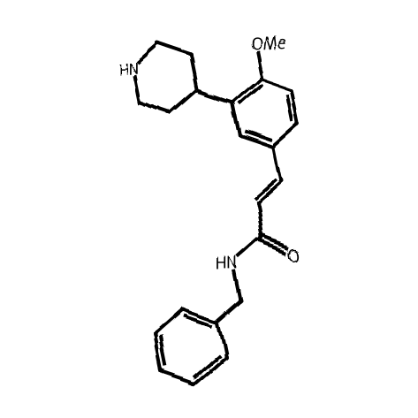 COc1ccc(/C=C/C(=O)NCc2ccccc2)cc1C1CCNCC1